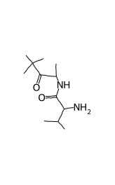 CC(NC(=O)C(N)C(C)C)C(=O)C(C)(C)C